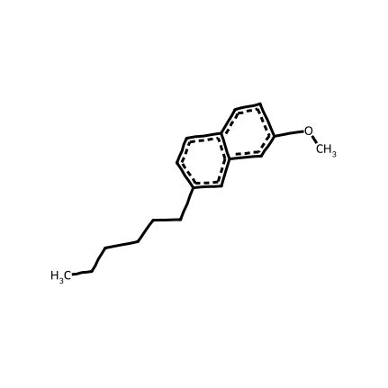 CCCCCCc1ccc2ccc(OC)cc2c1